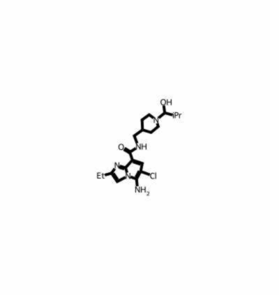 CCc1cn2c(N)c(Cl)cc(C(=O)NCC3CCN(C(O)C(C)C)CC3)c2n1